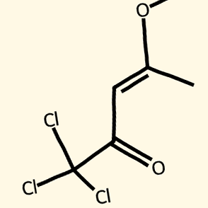 CO/C(C)=C/C(=O)C(Cl)(Cl)Cl